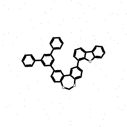 c1ccc(-c2cc(-c3ccccc3)cc(-c3ccc4c(c3)-c3cc(-c5cccc6c5oc5ccccc56)ccc3OCO4)c2)cc1